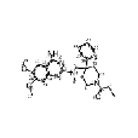 CCC(=O)N1CCC(CN(C)c2nc(N)c3cc(OC)c(OC)cc3n2)(c2ccccn2)CC1